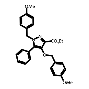 CCOC(=O)c1nn(Cc2ccc(OC)cc2)c(-c2ccccc2)c1OCc1ccc(OC)cc1